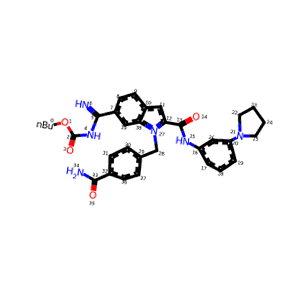 CCCCOC(=O)NC(=N)c1ccc2cc(C(=O)Nc3cccc(N4CCCC4)c3)n(Cc3ccc(C(N)=O)cc3)c2c1